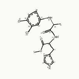 COC(=O)C(Cc1c[nH]cn1)NC(=O)C(C)Nc1ccc(Cl)c(Cl)c1